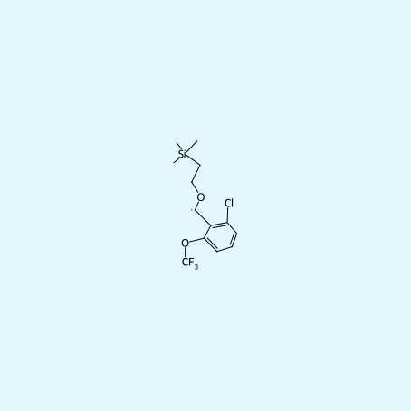 C[Si](C)(C)CCO[CH]c1c(Cl)cccc1OC(F)(F)F